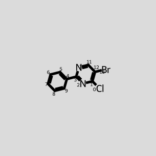 Clc1nc(-c2ccccc2)ncc1Br